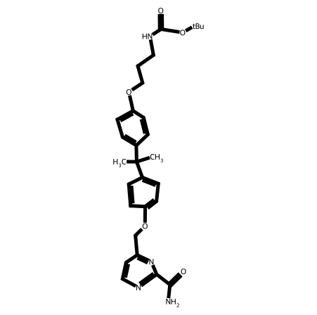 CC(C)(C)OC(=O)NCCCOc1ccc(C(C)(C)c2ccc(OCc3ccnc(C(N)=O)n3)cc2)cc1